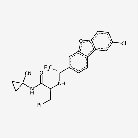 CC(C)C[C@H](N[C@@H](c1ccc2c(c1)oc1ccc(Cl)cc12)C(F)(F)F)C(=O)NC1(C#N)CC1